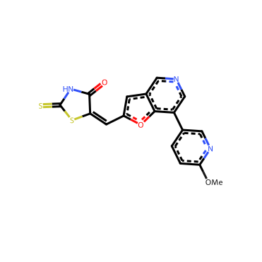 COc1ccc(-c2cncc3cc(C=C4SC(=S)NC4=O)oc23)cn1